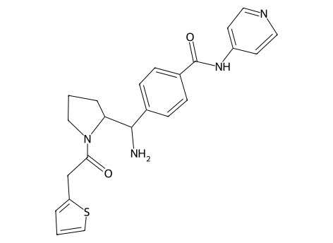 NC(c1ccc(C(=O)Nc2ccncc2)cc1)C1CCCN1C(=O)Cc1cccs1